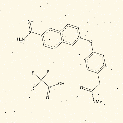 CNC(=O)Cc1ccc(Oc2ccc3cc(C(=N)N)ccc3c2)cc1.O=C(O)C(F)(F)F